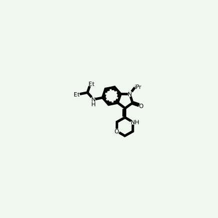 CCC(CC)Nc1ccc2c(c1)/C(=C1\COCCN1)C(=O)N2C(C)C